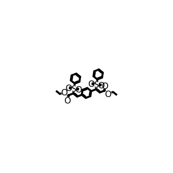 CCOC(=O)C=C(c1ccc(C=C(C(=O)OCC)S(=O)(=O)c2ccccc2)cc1)S(=O)(=O)c1ccccc1